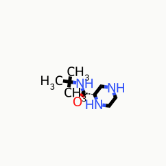 CC(C)(C)NC(=O)[C@@H]1CNCCN1